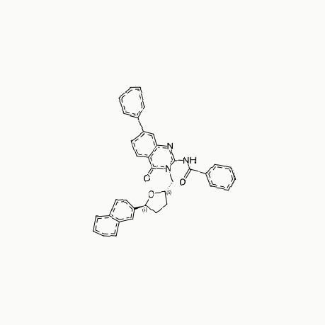 O=C(Nc1nc2cc(-c3ccccc3)ccc2c(=O)n1C[C@@H]1CC[C@@H](c2ccc3ccccc3c2)O1)c1ccccc1